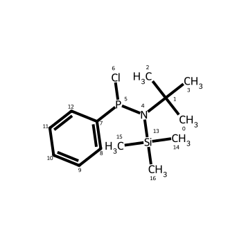 CC(C)(C)N(P(Cl)c1ccccc1)[Si](C)(C)C